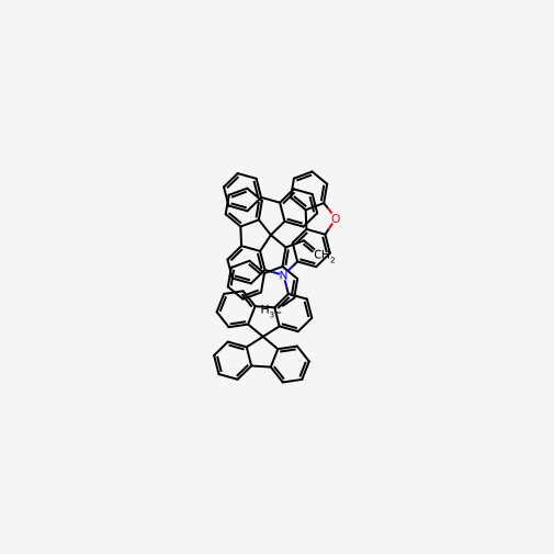 C=C/C(=C(\C=C/C)c1ccccc1)C1(c2ccccc2-c2ccccc2)c2ccccc2-c2cccc(N(c3ccc4oc5ccccc5c4c3)c3cccc4c3-c3ccccc3C43c4ccccc4-c4ccccc43)c21